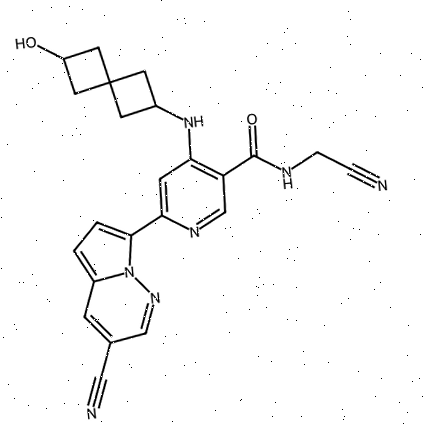 N#CCNC(=O)c1cnc(-c2ccc3cc(C#N)cnn23)cc1NC1CC2(CC(O)C2)C1